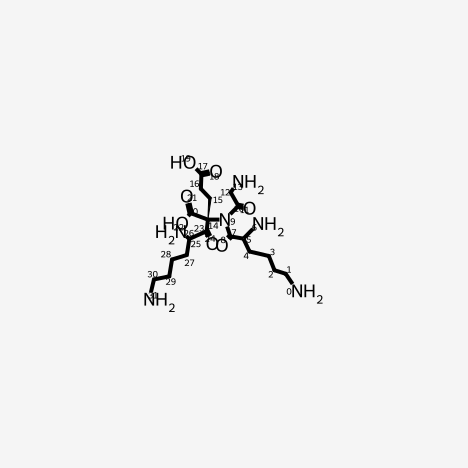 NCCCCC(N)C(=O)N(C(=O)CN)[C@@](CCC(=O)O)(C(=O)O)C(=O)C(N)CCCCN